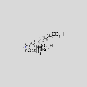 CCCCCCCC/C=C\CCCCCCCCCCCC(=O)O.CC[C@H](C)[C@H](N)C(=O)O